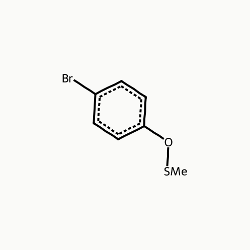 CSOc1ccc(Br)cc1